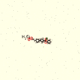 C=CC(=O)OCCCC1CCC(c2ccc(C(=O)Oc3ccccc3F)cc2)CC1